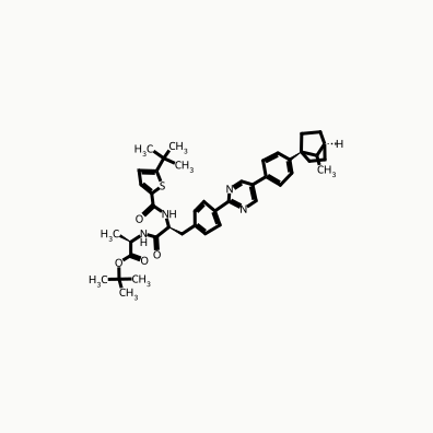 CC1[C@H]2CC[C@@]1(c1ccc(-c3cnc(-c4ccc(C[C@H](NC(=O)c5ccc(C(C)(C)C)s5)C(=O)N[C@H](C)C(=O)OC(C)(C)C)cc4)nc3)cc1)CC2